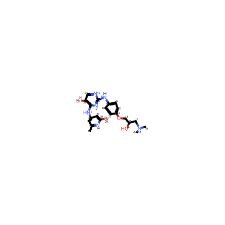 Cc1cc(Nc2nc(Nc3ccc(OCC(O)CN(C)C)cc3)ncc2Br)cc(Br)n1